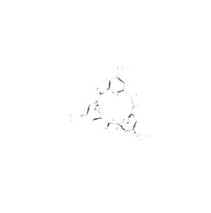 CC(C)(C)c1cc2nc(c1)C(=O)c1cc(C(C)(C)C)cc(n1)C(=O)c1cc(C(C)(C)C)cc(n1)CC2